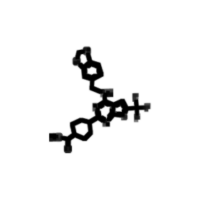 O=C(O)C1CCC(c2nc(NCc3ccc4c(c3)OCO4)c3cc(C(F)(F)F)sc3n2)CC1